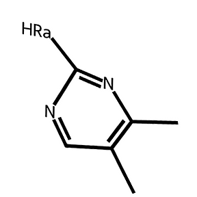 Cc1cn[c]([RaH])nc1C